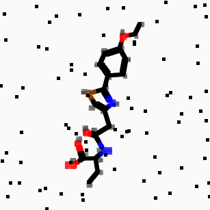 CCOc1ccc(-c2nc(CC(=O)NC(CC)C(=O)O)cs2)cc1